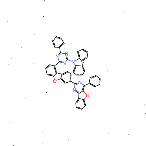 c1ccc(-c2nc(-c3cccc4oc5cc(-c6nc(-c7ccccc7)c7oc8ccccc8c7n6)ccc5c34)nc(-n3c4ccccc4c4ccccc43)n2)cc1